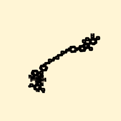 COc1cnc(OC)n2nc(NS(=O)(=O)c3c(OC4CCN(CCOCCOCCOCCN5CCN(c6ccc7c(c6)C(=O)N(C6CCC(=O)NC6=O)C7=O)CC5)CC4)cccc3C(F)(F)F)nc12